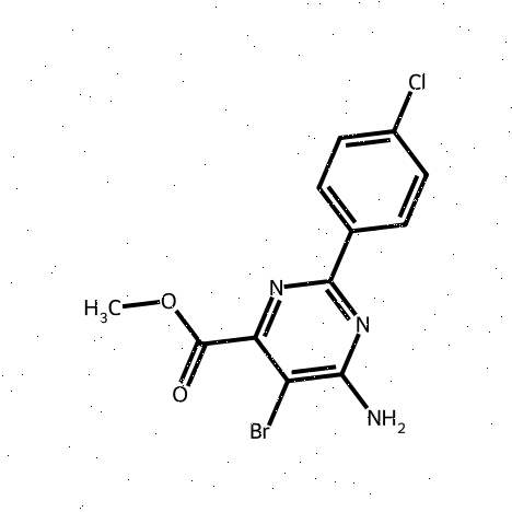 COC(=O)c1nc(-c2ccc(Cl)cc2)nc(N)c1Br